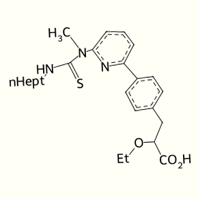 CCCCCCCNC(=S)N(C)c1cccc(-c2ccc(CC(OCC)C(=O)O)cc2)n1